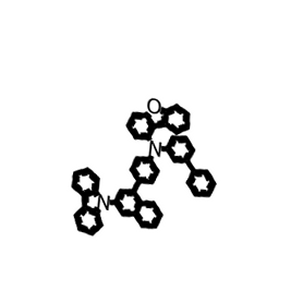 c1ccc(-c2cccc(N(c3ccc(-c4cc(-n5c6ccccc6c6ccccc65)cc5ccccc45)cc3)c3cccc4oc5ccccc5c34)c2)cc1